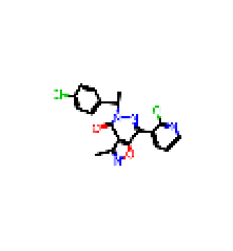 Cc1noc2c(-c3cccnc3Cl)nn(C(C)c3ccc(Cl)cc3)c(=O)c12